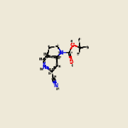 CC(C)(C)OC(=O)N1CCc2cnc(C#N)cc21